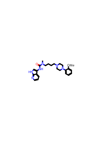 COc1ccccc1N1CCN(CCCCN(C)C(=O)Nc2c[nH]c3ncccc23)CC1